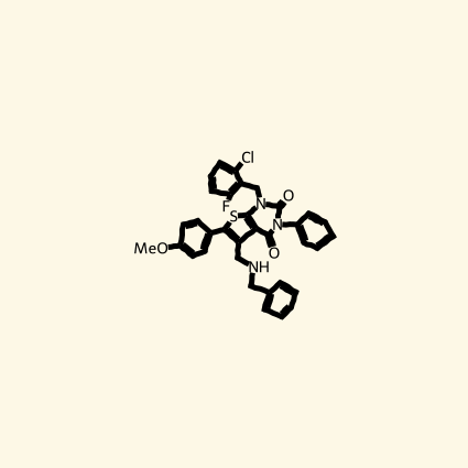 COc1ccc(-c2sc3c(c2CNCc2ccccc2)c(=O)n(-c2ccccc2)c(=O)n3Cc2c(F)cccc2Cl)cc1